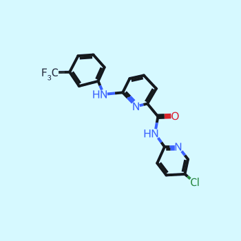 O=C(Nc1ccc(Cl)cn1)c1cccc(Nc2cccc(C(F)(F)F)c2)n1